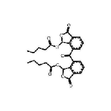 CCCCC(=O)OC1OC(=O)c2cccc(C(=O)c3cccc4c3C(OC(=O)CCCC)OC4=O)c21